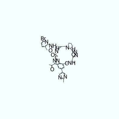 CCC1NCc2cc(-c3cnc(C)nc3)cc3c(C(C)=O)nn(c23)CC(=O)N2[C@H](C(=O)Nc3nc(Br)ccc3C)C[C@]3(C[C@@H]23)CN2CCC[C@H]2c2nnc1o2